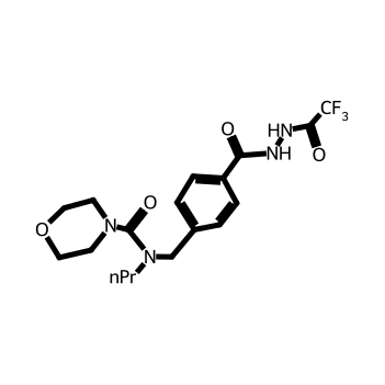 CCCN(Cc1ccc(C(=O)NNC(=O)C(F)(F)F)cc1)C(=O)N1CCOCC1